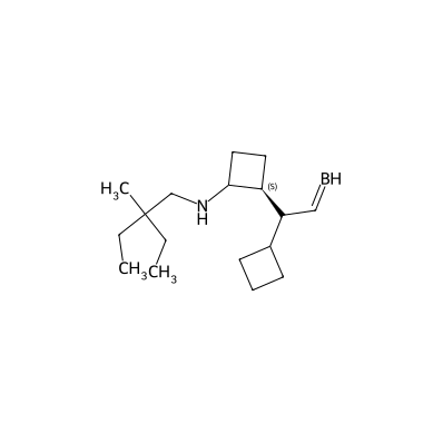 B=CC(C1CCC1)[C@@H]1CCC1NCC(C)(CC)CC